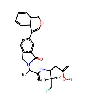 C=C(CC(NC(=C)C(CC)N1Cc2ccc(C3=COCC4C=CC=CC34)cc2C1=O)C(CF)(CCC)OC)OCC